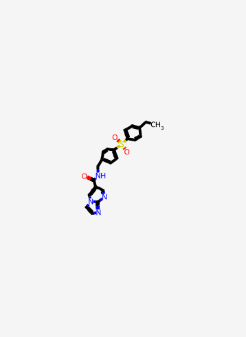 CCc1ccc(S(=O)(=O)c2ccc(CNC(=O)c3cnc4nccn4c3)cc2)cc1